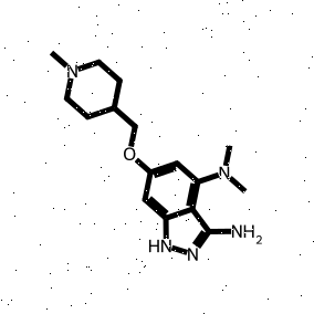 CN1CCC(COc2cc(N(C)C)c3c(N)n[nH]c3c2)CC1